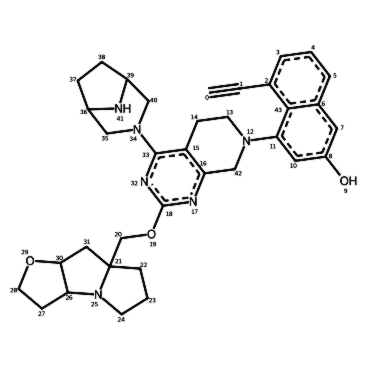 C#Cc1cccc2cc(O)cc(N3CCc4c(nc(OCC56CCCN5C5CCOC5C6)nc4N4CC5CCC(C4)N5)C3)c12